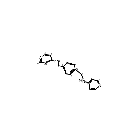 c1cc(NCc2ccc(CNc3ccncc3)cc2)ccn1